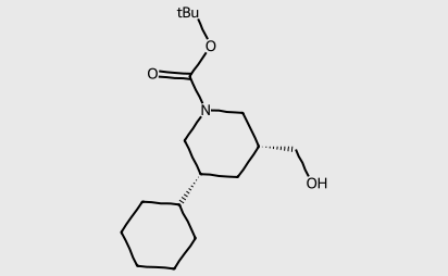 CC(C)(C)OC(=O)N1C[C@H](CO)C[C@H](C2CCCCC2)C1